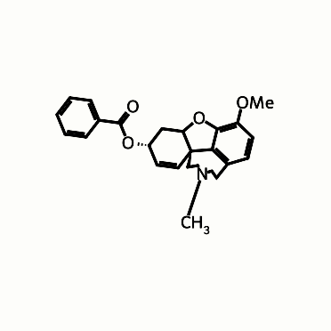 COc1ccc2c3c1OC1C[C@@H](OC(=O)c4ccccc4)C=C[C@@]31CCN(C)CC2